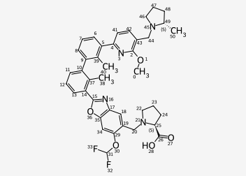 COc1nc(-c2cccc(-c3cccc(-c4nc5cc(CN6CCC[C@H]6C(=O)O)c(OC(F)F)cc5o4)c3C)c2C)ccc1CN1CCC[C@@H]1C